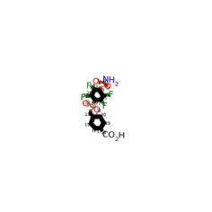 NS(=O)(=O)c1c(F)c(F)c(S(=O)(=O)Cc2ccc(C(=O)O)cc2)c(F)c1F